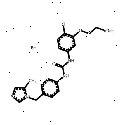 CCCCCCCCCCCCOc1cc(NC(=O)Nc2ccc(C[n+]3cscc3C)cc2)ccc1Cl.[Br-]